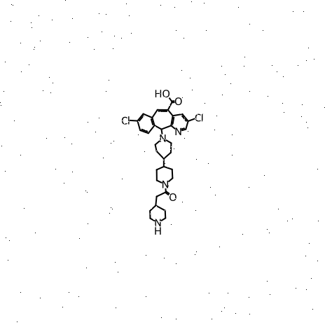 O=C(O)C1=Cc2cc(Cl)ccc2C(N2CCC(C3CCN(C(=O)CC4CCNCC4)CC3)CC2)c2ncc(Cl)cc21